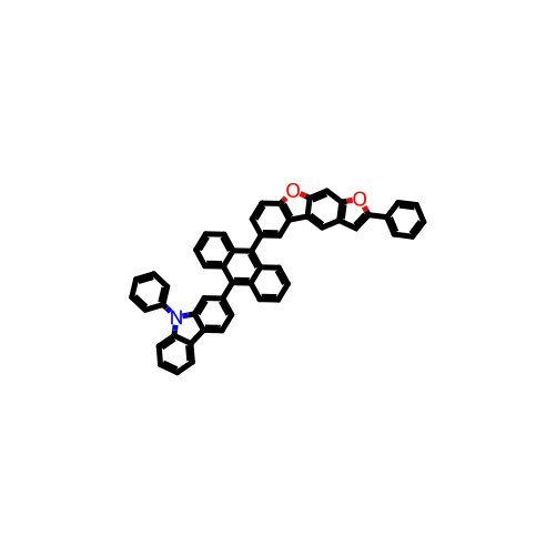 c1ccc(-c2cc3cc4c(cc3o2)oc2ccc(-c3c5ccccc5c(-c5ccc6c7ccccc7n(-c7ccccc7)c6c5)c5ccccc35)cc24)cc1